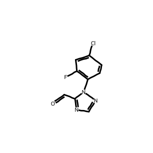 O=Cc1ncnn1-c1ccc(Cl)cc1F